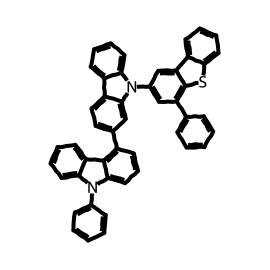 c1ccc(-c2cc(-n3c4ccccc4c4ccc(-c5cccc6c5c5ccccc5n6-c5ccccc5)cc43)cc3c2sc2ccccc23)cc1